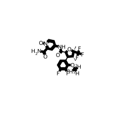 [2H]C([2H])([2H])Oc1c([C@H]2[C@@H](C(=O)Nc3cc[n+]([O-])c(C(N)=O)c3)O[C@@](C)(C(F)(F)F)[C@@H]2C)ccc(F)c1F